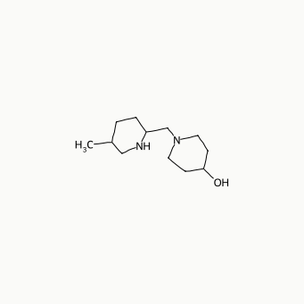 CC1CCC(CN2CCC(O)CC2)NC1